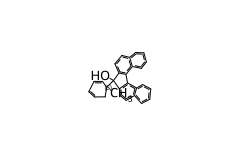 C[C@@]1(C2(O)c3ccc4ccccc4c3-c3c2ccc2ccccc32)C=CC=CC1